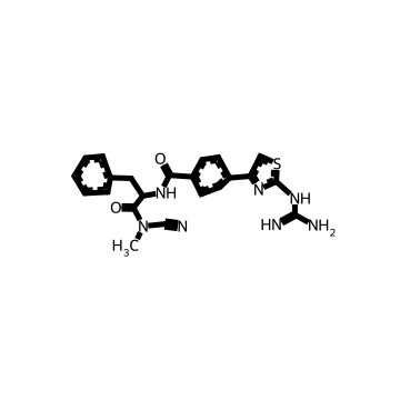 CN(C#N)C(=O)C(Cc1ccccc1)NC(=O)c1ccc(-c2csc(NC(=N)N)n2)cc1